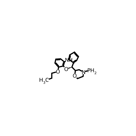 CCCOc1cccc(N)c1O[C@@H](c1ccccc1)C1CN(P)CCO1